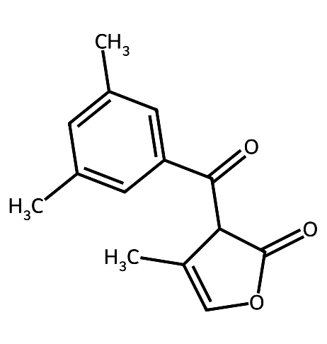 CC1=COC(=O)C1C(=O)c1cc(C)cc(C)c1